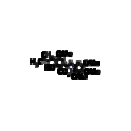 C=C(C)CCc1c(OC)cc(/C=C/c2cc(OC)c(OC)c(OC)c2)c(C(=O)O)c1O